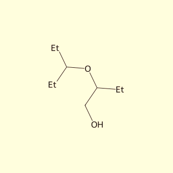 CCC(CC)OC(CC)CO